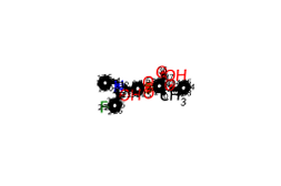 Cc1cc(S(=O)(=O)c2ccc(CCN(Cc3ccccc3)C[C@@H](O)c3cccc(F)c3)cc2)cc(C(=O)O)c1OCc1ccccc1